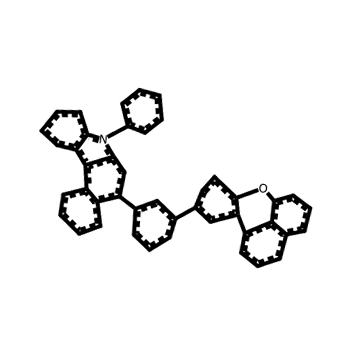 c1ccc(-n2c3ccccc3c3c4ccccc4c(-c4cccc(-c5ccc6c(c5)-c5cccc7cccc(c57)O6)c4)cc32)cc1